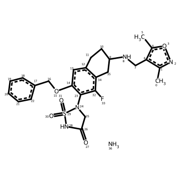 Cc1noc(C)c1CNC1CCc2cc(OCc3ccccc3)c(N3CC(=O)NS3(=O)=O)c(F)c2C1.N